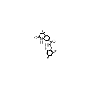 CC1(C)CC(=O)Nc2cc(C(=O)NCc3c(F)cc(F)cc3F)ccc21